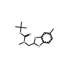 Cc1ccc2c(c1)OC(CN(C)C(=O)OC(C)(C)C)O2